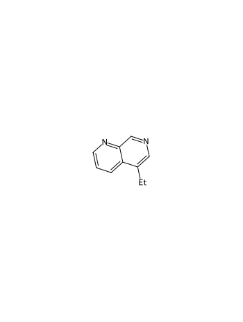 CCc1cncc2ncccc12